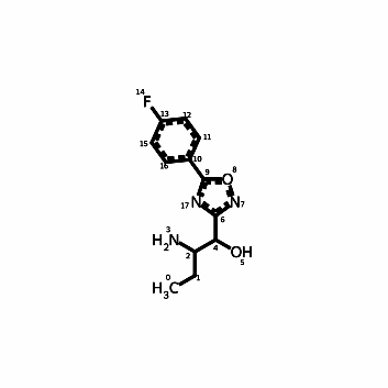 CCC(N)C(O)c1noc(-c2ccc(F)cc2)n1